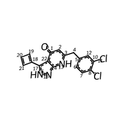 O=c1cc(Cc2ccc(Cl)c(Cl)c2)[nH]c2n[nH]c(C3=CC=C3)c12